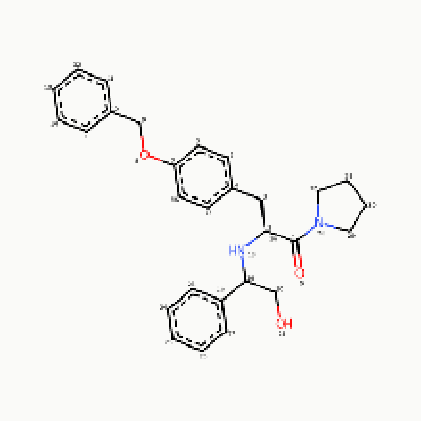 O=C([C@H](Cc1ccc(OCc2ccccc2)cc1)NC(CO)c1ccccc1)N1CCCC1